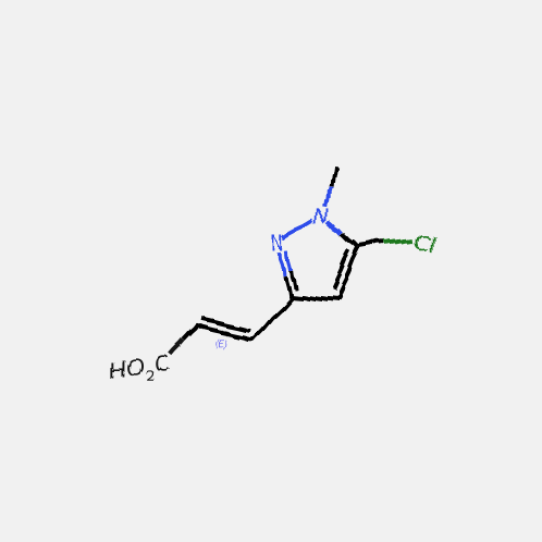 Cn1nc(/C=C/C(=O)O)cc1Cl